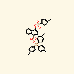 Cc1ccc(S(OS(=O)(=O)c2ccc(OS(=O)(=O)c3ccc(C)cc3)c3ccccc23)(c2ccc(C)cc2)c2ccc(C)cc2)cc1